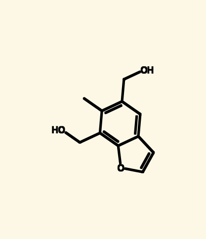 Cc1c(CO)cc2ccoc2c1CO